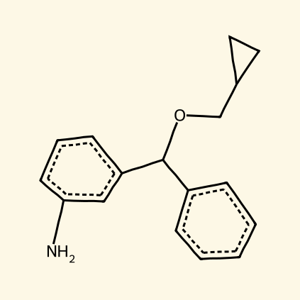 Nc1cccc(C(OCC2CC2)c2ccccc2)c1